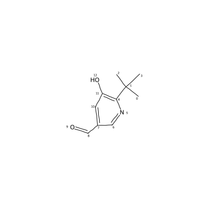 CC(C)(C)c1ncc(C=O)cc1O